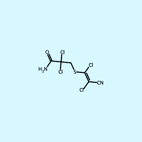 N#CC(Cl)=C(Cl)SCC(Cl)(Cl)C(N)=O